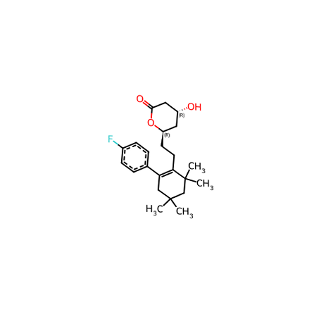 CC1(C)CC(c2ccc(F)cc2)=C(CC[C@@H]2C[C@@H](O)CC(=O)O2)C(C)(C)C1